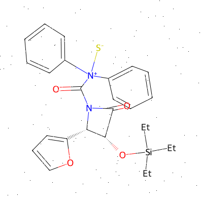 CC[Si](CC)(CC)O[C@H]1C(=O)N(C(=O)[N+]([S-])(c2ccccc2)c2ccccc2)[C@H]1c1ccco1